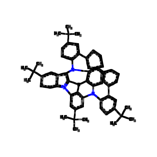 CC(C)(C)c1ccc(N2c3cccc4c3B3c5c2cc(C(C)(C)C)cc5-n2c3c(c3cc(C(C)(C)C)ccc32)N4c2ccc(C(C)(C)C)cc2-c2ccccc2)c(-c2ccccc2)c1